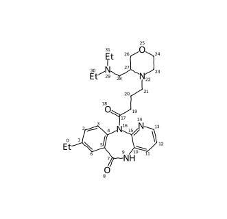 CCc1ccc2c(c1)C(=O)Nc1cccnc1N2C(=O)CCCN1CCOCC1CN(CC)CC